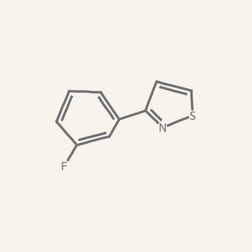 Fc1cccc(-c2ccsn2)c1